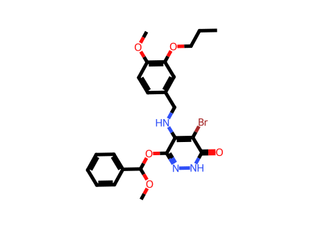 CCCOc1cc(CNc2c(OC(OC)c3ccccc3)n[nH]c(=O)c2Br)ccc1OC